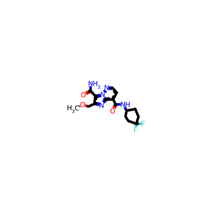 COCc1nc2c(C(=O)NC3CCC(F)(F)CC3)ccnn2c1C(N)=O